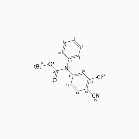 CC(C)(C)OC(=O)N(c1ccccc1)c1ccc(C#N)c(Cl)c1